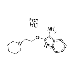 Cl.Cl.Nc1c(OCCN2CCCCC2)nn2ccccc12